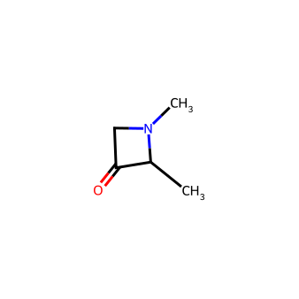 CC1C(=O)CN1C